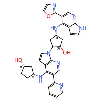 O[C@H]1CC[C@@H](Nc2c(-c3ccccn3)cnc3c2ccn3C2C[C@@H](Nc3c(-c4ncco4)cnc4[nH]ccc34)C[C@H]2O)C1